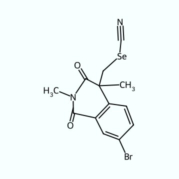 CN1C(=O)c2cc(Br)ccc2C(C)(C[Se]C#N)C1=O